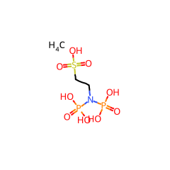 C.O=P(O)(O)N(CCS(=O)(=O)O)P(=O)(O)O